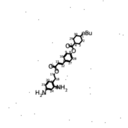 CCCCC1CCC(C(=O)Oc2ccc(C=CC(=O)OCCc3ccc(N)cc3N)cc2)CC1